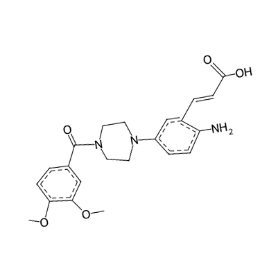 COc1ccc(C(=O)N2CCN(c3ccc(N)c(/C=C/C(=O)O)c3)CC2)cc1OC